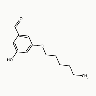 CCCCCCOc1cc(O)cc(C=O)c1